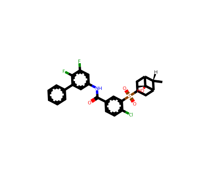 C[C@H]1C2CC(S(=O)(=O)c3cc(C(=O)Nc4cc(F)c(F)c(-c5ccccc5)c4)ccc3Cl)CC1[C@]2(C)O